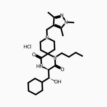 CCCCN1C(=O)[C@@H]([C@H](O)C2CCCCC2)NC(=O)C12CCN(Cc1c(C)nn(C)c1C)CC2.Cl